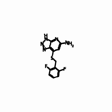 Nc1cc(SCc2c(F)cccc2F)c2nn[nH]c2n1